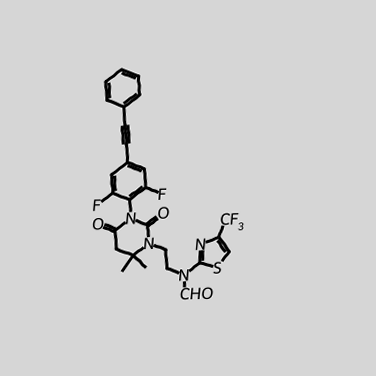 CC1(C)CC(=O)N(c2c(F)cc(C#Cc3ccccc3)cc2F)C(=O)N1CCN(C=O)c1nc(C(F)(F)F)cs1